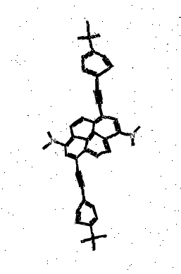 CN(C)c1cc(C#Cc2ccc(C(C)(C)C)cc2)c2ccc3c(N(C)C)cc(C#Cc4ccc(C(C)(C)C)cc4)c4ccc1c2c43